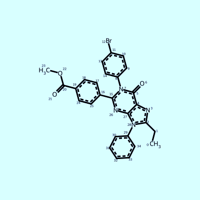 CCc1nc2c(=O)n(-c3ccc(Br)cc3)c(-c3ccc(C(=O)OC)cc3)nc2n1-c1ccccc1